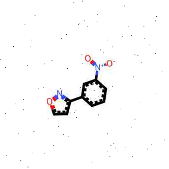 O=[N+]([O-])c1cccc(-c2ccon2)c1